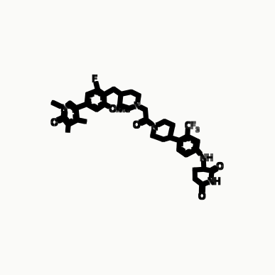 COc1cc(-c2cn(C)c(=O)c(C)c2C)cc(F)c1CC1CCN(CC(=O)N2CCC(c3ccc(NC4CCC(=O)NC4=O)cc3C(F)(F)F)CC2)CC1